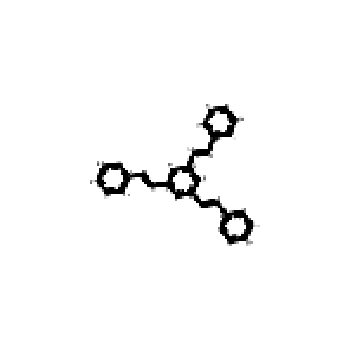 C(=C\c1cc(/C=C/c2ccccc2)cc(/C=C/c2ccccc2)c1)/c1ccccc1